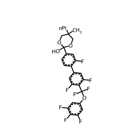 CCCC1(C)COC(O)(c2ccc(-c3cc(F)c(C(F)(F)Oc4cc(F)c(F)c(F)c4)c(F)c3)c(F)c2)OC1